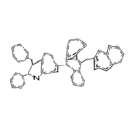 c1ccc(C2=Nc3cc(-c4c5ccccc5c(-c5ccc6ccccc6c5)c5ccccc45)ccc3C2c2ccccc2)cc1